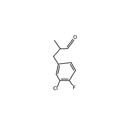 CC(C=O)Cc1ccc(F)c(Cl)c1